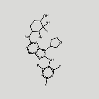 [2H]C1C(Nc2ncc3nc(Nc4c(F)cc(F)cc4F)n(C4CCOC4)c3n2)CCC(O)C1([2H])[2H]